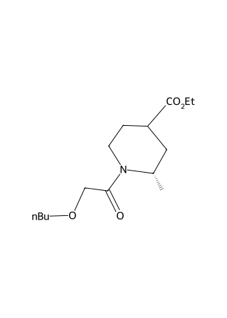 CCCCOCC(=O)N1CCC(C(=O)OCC)C[C@@H]1C